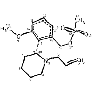 C=CCN1CCCC[C@@H]1c1c(COS(C)(=O)=O)cccc1OC